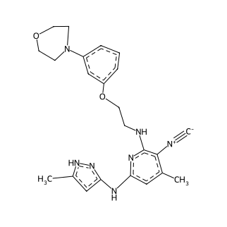 [C-]#[N+]c1c(C)cc(Nc2cc(C)[nH]n2)nc1NCCOc1cccc(N2CCOCC2)c1